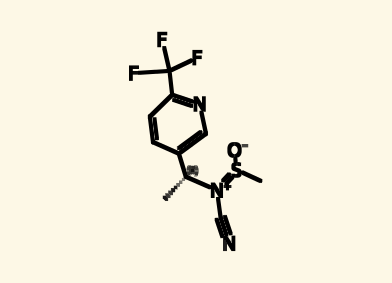 C[C@H](c1ccc(C(F)(F)F)nc1)[N+](C#N)=S(C)[O-]